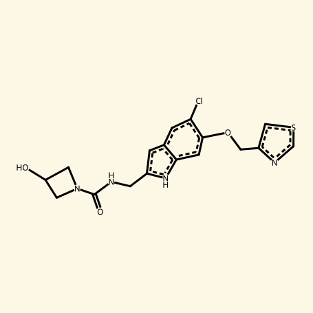 O=C(NCc1cc2cc(Cl)c(OCc3cscn3)cc2[nH]1)N1CC(O)C1